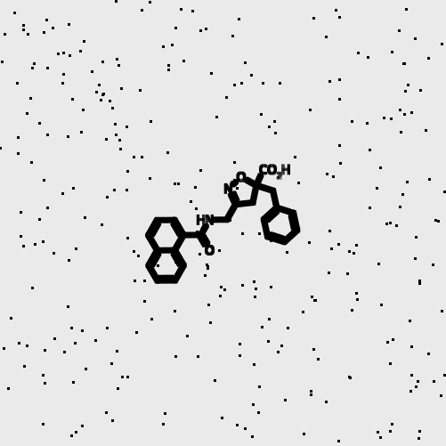 O=C(NCC1=NOC(Cc2ccccc2)(C(=O)O)C1)c1cccc2ccccc12